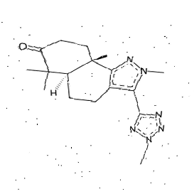 Cn1nnc(-c2c3c(nn2C)[C@@]2(C)CCC(=O)C(C)(C)[C@@H]2CC3)n1